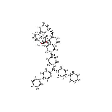 c1ccc(-c2ccc(N(c3ccc(-c4ccccc4)cc3)c3ccc(-c4ccc5c6c(ccc5c4)Sc4ccccc4C64c5ccccc5-c5ccccc54)cc3)cc2)cc1